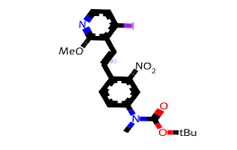 COc1nccc(I)c1/C=C/c1ccc(N(C)C(=O)OC(C)(C)C)cc1[N+](=O)[O-]